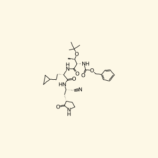 C[C@@H](OC(C)(C)C)[C@H](NC(=O)OCc1ccccc1)C(=O)N[C@@H](CCC1CC1)C(=O)N[C@H](C#N)C[C@@H]1CCNC1=O